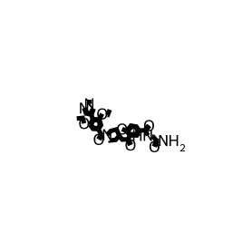 CCOc1cc(C(=O)N2CCC3(CC2)CC(=O)c2cc(C(=O)NCC(N)=O)ccc2O3)cc(OCC)c1-c1cnn(C)c1